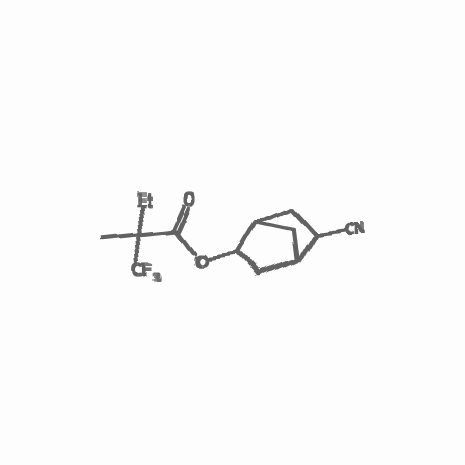 CCC(C)(C(=O)OC1CC2CC1CC2C#N)C(F)(F)F